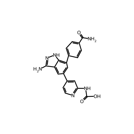 NC(=O)c1ccc(-c2cc(-c3ccnc(NC(=O)O)c3)cc3c(N)n[nH]c23)cc1